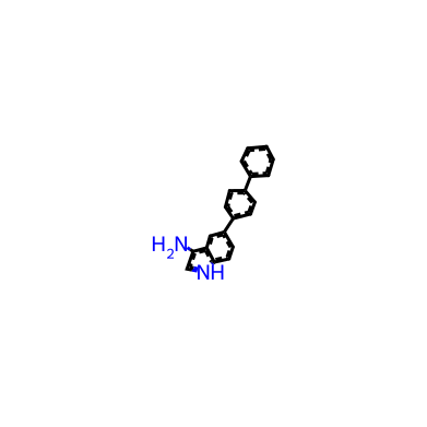 Nc1c[nH]c2ccc(-c3ccc(-c4ccccc4)cc3)cc12